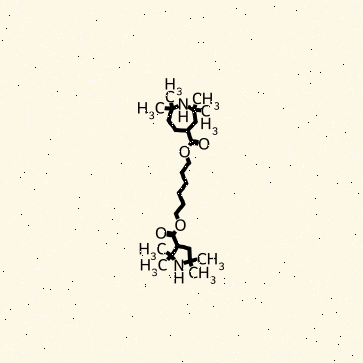 CC1(C)CCC(C(=O)OCCCCCCOC(=O)C2CC(C)(C)NC2(C)C)CC(C)(C)N1